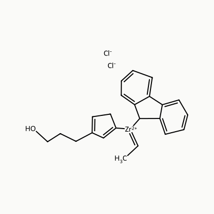 C[CH]=[Zr+2]([C]1=CC(CCCO)=CC1)[CH]1c2ccccc2-c2ccccc21.[Cl-].[Cl-]